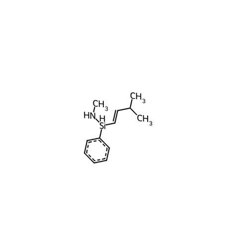 CN[SiH](C=CC(C)C)c1ccccc1